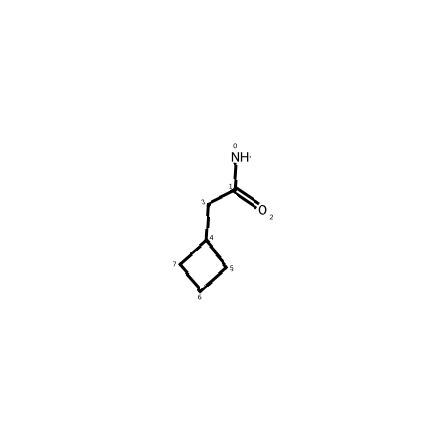 [NH]C(=O)CC1CCC1